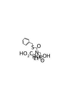 CCC(C(=O)O)N(CP(=O)(O)O)C(=O)SCc1ccccc1